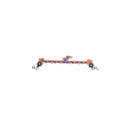 Cc1ccc(S(=O)(=O)OCCOCCOCCOCCOCCN(CCOCCOCCOCCOCCOS(=O)(=O)c2ccc(C)cc2)C(=O)OC(C)(C)C)cc1